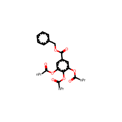 CCCC(=O)Oc1cc(C(=O)OCc2ccccc2)cc(OC(=O)CCC)c1OC(=O)CCC